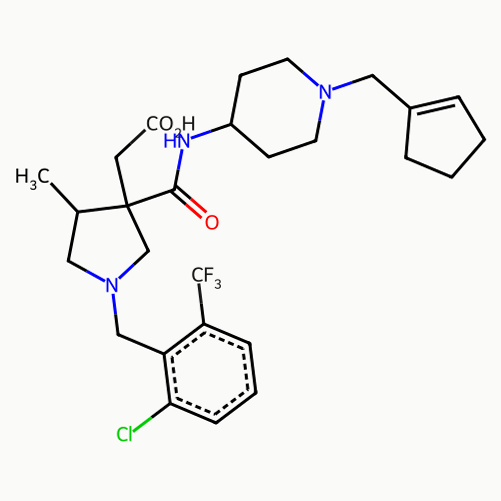 CC1CN(Cc2c(Cl)cccc2C(F)(F)F)CC1(CC(=O)O)C(=O)NC1CCN(CC2=CCCC2)CC1